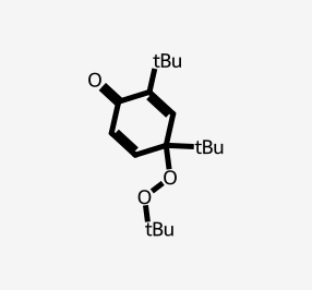 CC(C)(C)OOC1(C(C)(C)C)C=CC(=O)C(C(C)(C)C)=C1